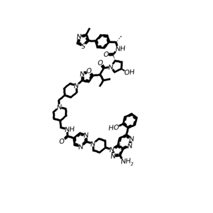 Cc1ncsc1-c1ccc([C@H](C)NC(=O)[C@@H]2C[C@@H](O)CN2C(=O)C(c2cc(N3CCC(CN4CCC(CNC(=O)c5cnc(N6CCC(n7nc(N)c8nnc(-c9ccccc9O)cc87)CC6)nc5)CC4)CC3)no2)C(C)C)cc1